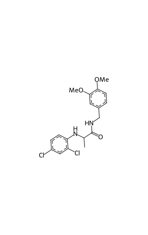 COc1ccc(CNC(=O)C(C)Nc2ccc(Cl)cc2Cl)cc1OC